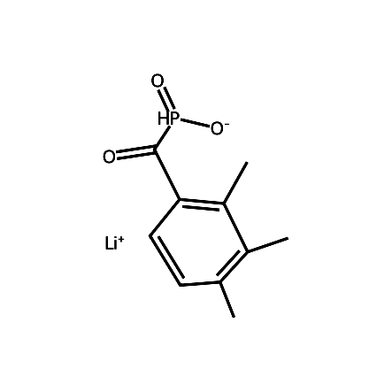 Cc1ccc(C(=O)[PH](=O)[O-])c(C)c1C.[Li+]